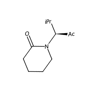 CC(=O)[C@H](C(C)C)N1CCCCC1=O